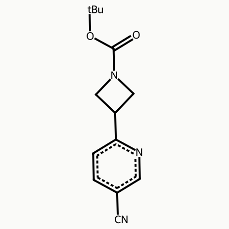 CC(C)(C)OC(=O)N1CC(c2ccc(C#N)cn2)C1